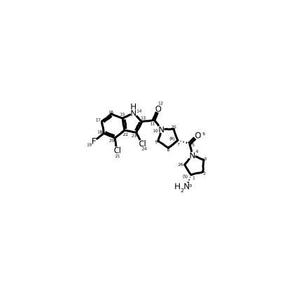 N[C@H]1CCN(C(=O)[C@@H]2CCN(C(=O)c3[nH]c4ccc(F)c(Cl)c4c3Cl)C2)C1